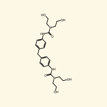 O=C(Nc1ccc(Cc2ccc(NC(=O)N(CCO)CCO)cc2)cc1)N(CCO)CCO